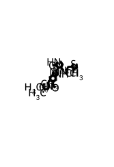 C[C@H](CN1Cc2cc3nc(-c4c(N[C@@H](C)Cc5sccc5Cl)cc[nH]c4=O)[nH]c3cc2C1=O)N(C)C